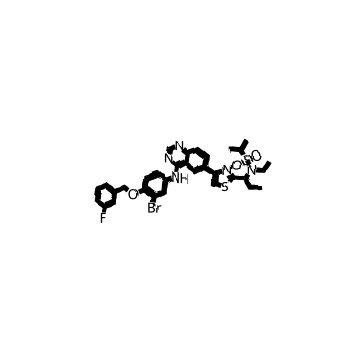 CCC(c1nc(-c2ccc3ncnc(Nc4ccc(OCc5cccc(F)c5)c(Br)c4)c3c2)cs1)N(CC)S(=O)(=O)C(C)C